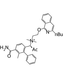 CCCCc1cc2ccccc2c(OCC[N+](C)(C)[C@@H](C(C)=O)c2ccc(C(N)=O)c(C)c2-c2ccccc2)n1